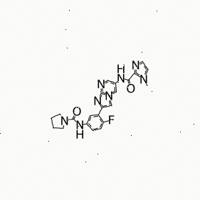 Cn1ccnc1C(=O)Nc1cnc2nc(-c3cc(NC(=O)N4CCCC4)ccc3F)cn2c1